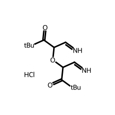 CC(C)(C)C(=O)C(C=N)OC(C=N)C(=O)C(C)(C)C.Cl